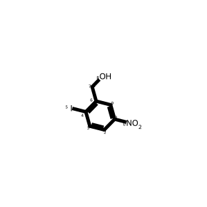 O=[N+]([O-])c1ccc(I)c([CH]O)c1